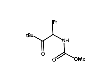 COC(=O)NC(C(=O)C(C)(C)C)C(C)C